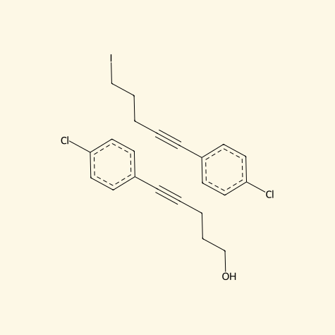 Clc1ccc(C#CCCCI)cc1.OCCCC#Cc1ccc(Cl)cc1